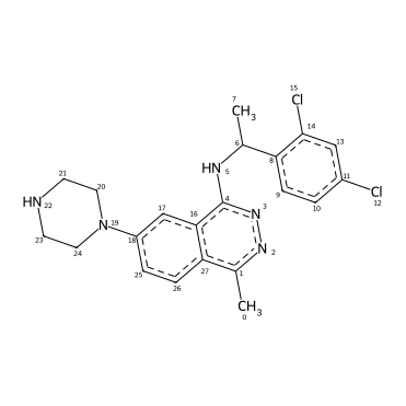 Cc1nnc(NC(C)c2ccc(Cl)cc2Cl)c2cc(N3CCNCC3)ccc12